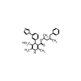 CC1=C(C(=O)O)C(c2cccc(-n3ccnc3)c2)C(C(=O)OC(C)CN(C)Cc2ccccc2)=C(C)N1